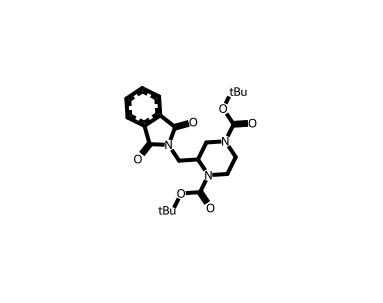 CC(C)(C)OC(=O)N1CCN(C(=O)OC(C)(C)C)C(CN2C(=O)c3ccccc3C2=O)C1